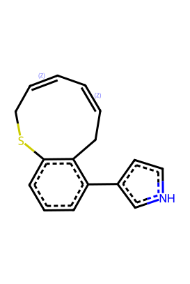 C1=C\CSc2cccc(-c3cc[nH]c3)c2C\C=C/1